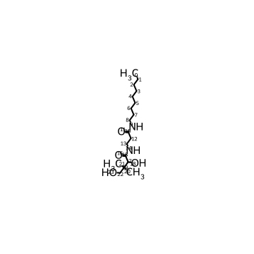 CCCCCCCCCNC(=O)CCNC(=O)C(O)C(C)(C)CO